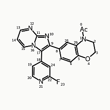 CC(=O)N1CCOc2ccc(-c3nc4ncccn4c3-c3ccnc(F)c3)cc21